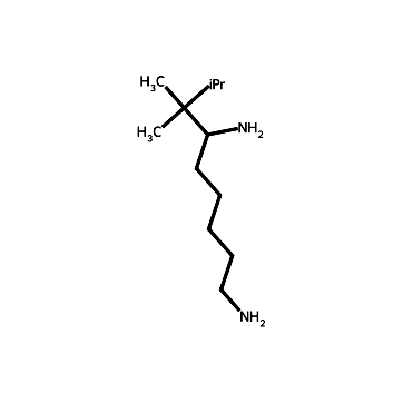 CC(C)C(C)(C)C(N)CCCCCN